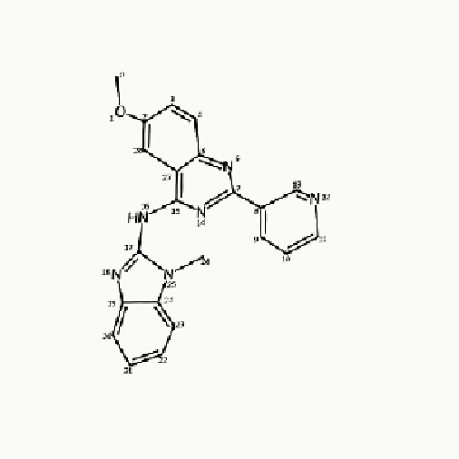 COc1ccc2nc(-c3cccnc3)nc(Nc3nc4ccccc4n3C)c2c1